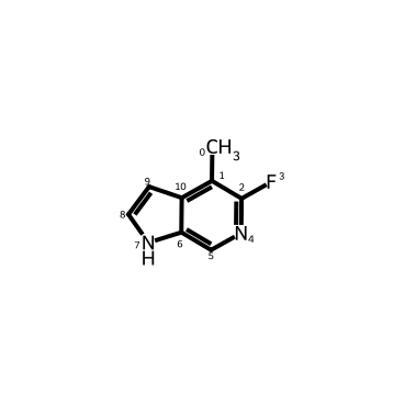 Cc1c(F)ncc2[nH]ccc12